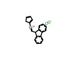 C1=CC[C](/[Zr+2]=[CH]/C2c3ccccc3-c3ccccc32)=C1.[Cl-].[Cl-]